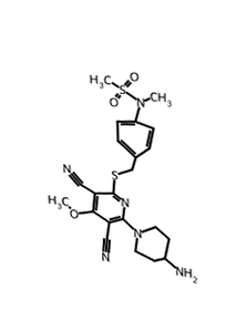 COc1c(C#N)c(SCc2ccc(N(C)S(C)(=O)=O)cc2)nc(N2CCC(N)CC2)c1C#N